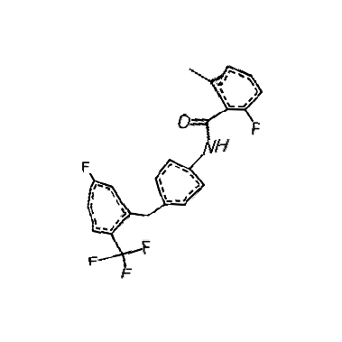 Cc1cccc(F)c1C(=O)Nc1ccc(Cc2cc(F)ccc2C(F)(F)F)cc1